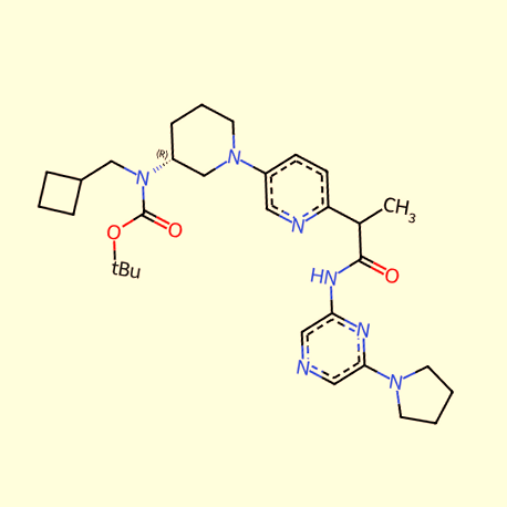 CC(C(=O)Nc1cncc(N2CCCC2)n1)c1ccc(N2CCC[C@@H](N(CC3CCC3)C(=O)OC(C)(C)C)C2)cn1